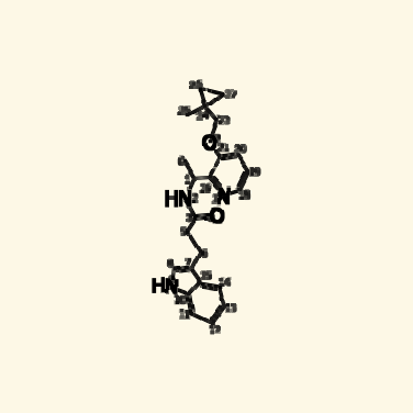 CC(NC(=O)CCc1c[nH]c2ccccc12)c1ncccc1OCC1(C)CC1